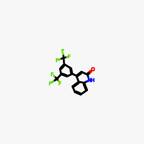 O=c1cc(-c2cc(C(F)(F)F)cc(C(F)(F)F)c2)c2ccccc2[nH]1